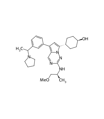 COC[C@H](C)Nc1ncc2c(-c3cccc(C(C)N4CCCC4)c3)cc([C@H]3CC[C@H](O)CC3)n2n1